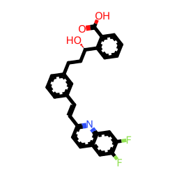 O=C(O)c1ccccc1[C@@H](O)CCc1cccc(C=Cc2ccc3cc(F)c(F)cc3n2)c1